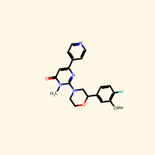 COc1cc(C2CN(c3nc(-c4ccncc4)cc(=O)n3C)CCO2)ccc1F